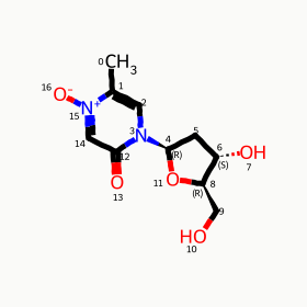 Cc1cn([C@H]2C[C@H](O)[C@@H](CO)O2)c(=O)c[n+]1[O-]